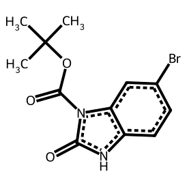 CC(C)(C)OC(=O)n1c(=O)[nH]c2ccc(Br)cc21